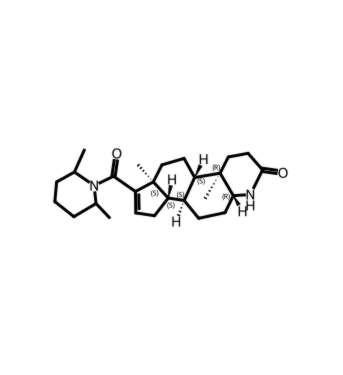 CC1CCCC(C)N1C(=O)C1=CC[C@H]2[C@@H]3CC[C@H]4NC(=O)CC[C@]4(C)[C@H]3CC[C@]12C